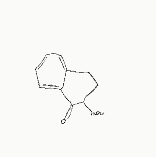 CCCCC1CCc2ccccc2C1=O